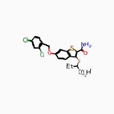 CCC(Sc1c(C(N)=O)sc2cc(OCc3ccc(Cl)cc3Cl)ccc12)C(=O)O